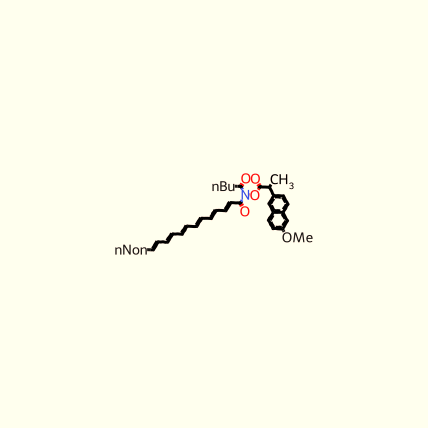 CCCCCCCCCC=CC=CC=CC=CC=CC=CC(=O)N(OC(=O)C(C)c1ccc2cc(OC)ccc2c1)C(=O)CCCC